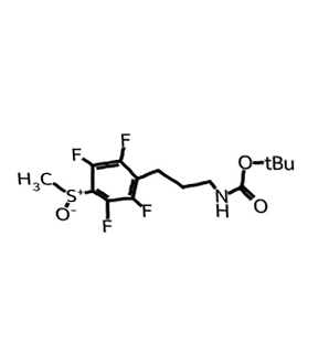 C[S+]([O-])c1c(F)c(F)c(CCCNC(=O)OC(C)(C)C)c(F)c1F